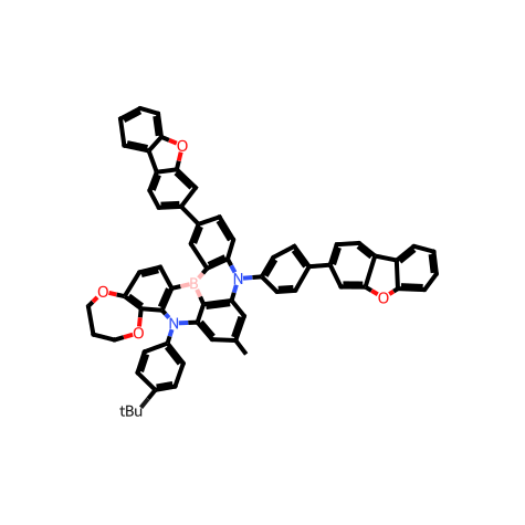 Cc1cc2c3c(c1)N(c1ccc(C(C)(C)C)cc1)c1c(ccc4c1OCCCO4)B3c1cc(-c3ccc4c(c3)oc3ccccc34)ccc1N2c1ccc(-c2ccc3c(c2)oc2ccccc23)cc1